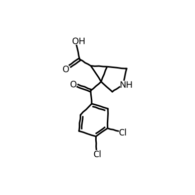 O=C(O)C1C2CNCC21C(=O)c1ccc(Cl)c(Cl)c1